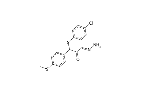 CSc1ccc(C(Sc2ccc(Cl)cc2)C(=O)C=NN)cc1